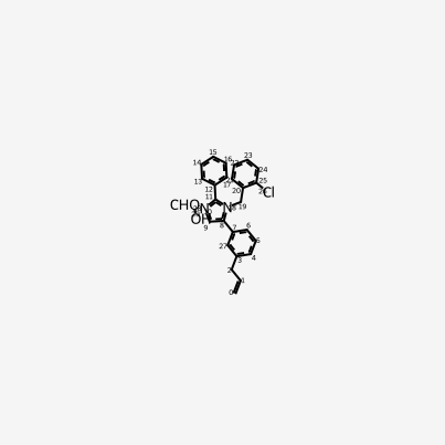 C=CCc1cccc(-c2cnc(-c3ccccc3)n2Cc2ccccc2Cl)c1.O=CO